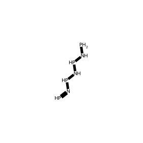 P=NPNPNP